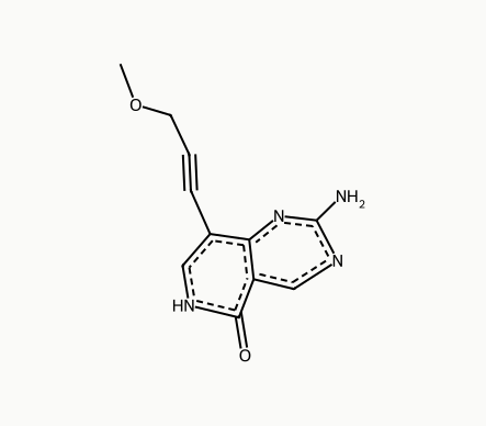 COCC#Cc1c[nH]c(=O)c2cnc(N)nc12